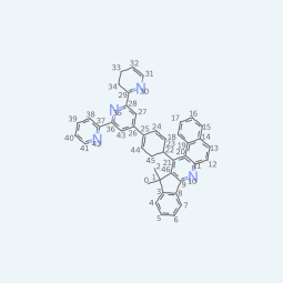 CC1(C)c2ccccc2-c2nc3ccc4ccccc4c3c(C3C=CC(c4cc(C5=NC=CCC5)nc(-c5ccccn5)c4)=CC3)c21